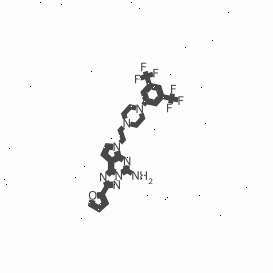 Nc1nc2c(ccn2CCN2CCN(c3cc(C(F)(F)F)cc(C(F)(F)F)c3)CC2)c2nc(-c3ccco3)nn12